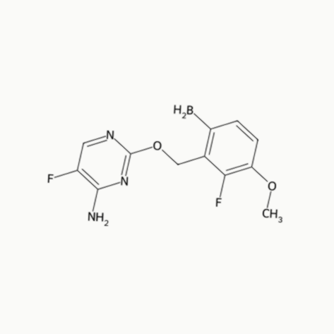 Bc1ccc(OC)c(F)c1COc1ncc(F)c(N)n1